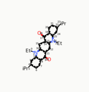 CCn1c2cc(C(C)C)ccc2c(=O)c2cc3c(cc21)c(=O)c1ccc(C(C)C)cc1n3CC